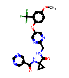 COc1ccc(Oc2cnc(CNC(=O)C3(NC(=O)c4cncnc4)CC3)nc2)c(C(F)(F)F)c1